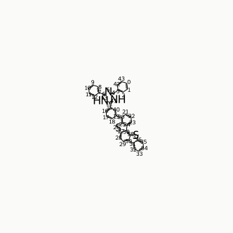 c1ccc(C2=NC(c3ccccc3)NC(c3cccc(-c4cccc5c4sc4ccc6c7ccccc7sc6c45)c3)N2)cc1